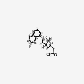 O=C(Cl)C[C@@H]1C[C@@H]2C[C@H](c3ccnc4ccc(F)cc34)C[C@@H]2C1